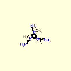 CN(CCCN)c1cc(N(C)CCCN)cc(N(C)CCCN)c1